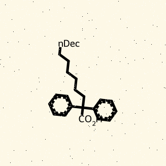 CCCCCCCCCCCCCCCCC(C(=O)O)(c1ccccc1)c1ccccc1